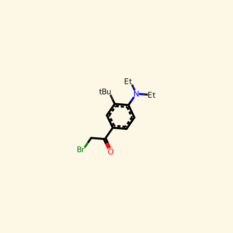 CCN(CC)c1ccc(C(=O)CBr)cc1C(C)(C)C